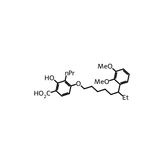 CCCc1c(OCCCCCC(CC)c2cccc(OC)c2OC)ccc(C(=O)O)c1O